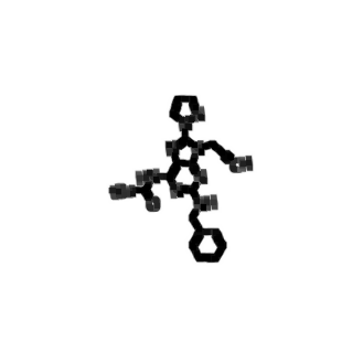 C#CCn1c(-n2cccn2)nc2c(NC(=O)C(C)(C)C)nc(NCc3ccccc3)nc21